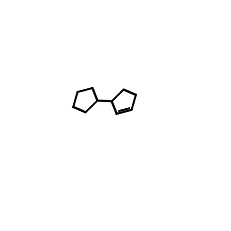 [C]1=CCCC1C1CCCC1